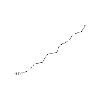 OCCCCCCCCCF